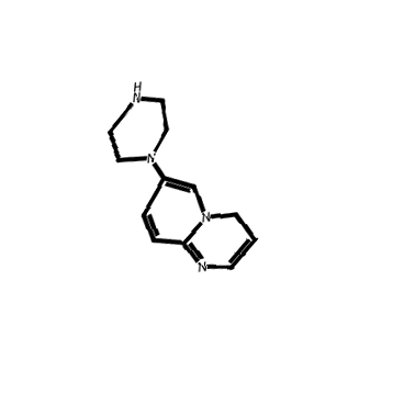 C1=CN=C2C=CC(N3CCNCC3)=CN2C1